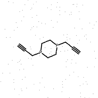 C#CCP1CCP(CC#C)CC1